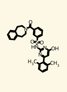 Cc1cccc(C)c1-c1cc(O)nc(NS(=O)(=O)c2cccc(C(=O)N3CCc4ccccc4CC3)c2)n1